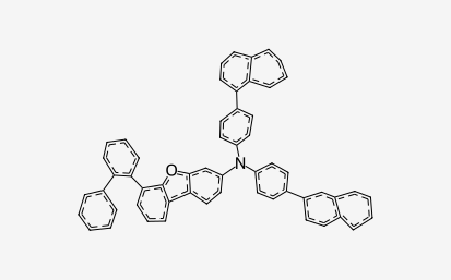 c1ccc(-c2ccccc2-c2cccc3c2oc2cc(N(c4ccc(-c5ccc6ccccc6c5)cc4)c4ccc(-c5cccc6ccccc56)cc4)ccc23)cc1